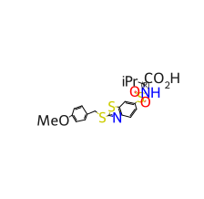 COc1ccc(CSc2nc3ccc(S(=O)(=O)N[C@@H](C(=O)O)C(C)C)cc3s2)cc1